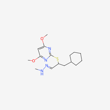 CNN=CC(CC1CCCCC1)Sc1nc(OC)cc(OC)n1